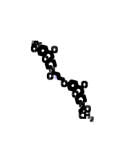 C=CC(=O)N1CCC2(CC1)CC(=O)c1ccc(OC/C=C/C(=O)N3CCC4(CC3)CC(=O)c3ccc(OC(C)C)cc3O4)cc1O2